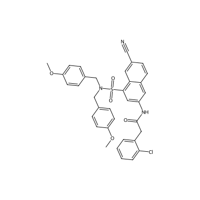 COc1ccc(CN(Cc2ccc(OC)cc2)S(=O)(=O)c2cc(NC(=O)Cc3ccccc3Cl)cc3ccc(C#N)cc23)cc1